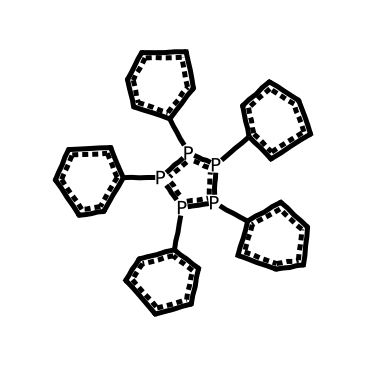 c1ccc(-p2p(-c3ccccc3)p(-c3ccccc3)p(-c3ccccc3)p2-c2ccccc2)cc1